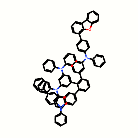 c1ccc(-c2ccc3c(c2)c2cc(-c4cccc(-c5cccc(N(c6ccccc6)c6ccc(-c7cccc8c7oc7ccccc78)cc6)c5)c4-c4cc(N(c5ccccc5)c5ccccc5)cc(N(c5ccccc5)c5ccccc5)c4)ccc2n3-c2ccccc2)cc1